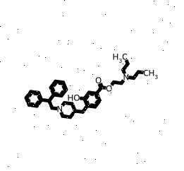 CCCN(CCC)CCOC(=O)c1ccc(CC2CCN(CC(c3ccccc3)c3ccccc3)CC2)c(O)c1